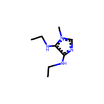 CCNc1ncn(C)c1NCC